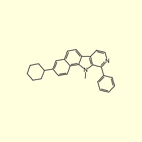 Cn1c2c(-c3ccccc3)nccc2c2ccc3cc(C4CCCCC4)ccc3c21